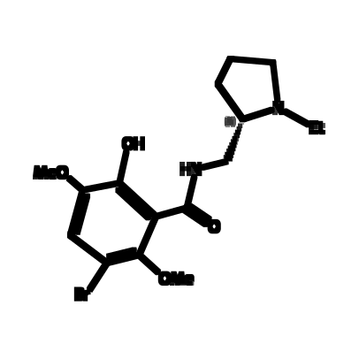 CCN1CCC[C@H]1CNC(=O)c1c(O)c(OC)cc(Br)c1OC